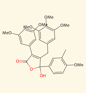 COc1cc(OC)cc(C2=C(Cc3cc(OC)c(OC)c(OC)c3)C(O)(c3ccc(OC)c(C)c3)OC2=O)c1